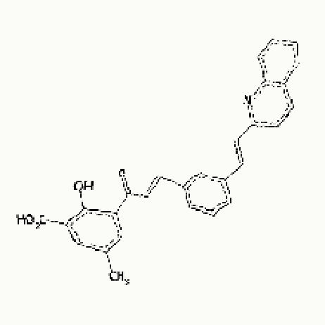 Cc1cc(C(=O)O)c(O)c(C(=O)/C=C/c2cccc(/C=C/c3ccc4ccccc4n3)c2)c1